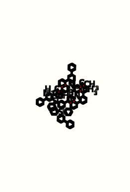 CC(C)(C)c1ccc2c(c1)B1c3cc(-c4cc([Si](c5ccccc5)(c5ccccc5)c5cccc(-c6ccccc6)c5)cc([Si](c5ccccc5)(c5ccccc5)c5cccc(-c6ccccc6)c5)c4)ccc3N(c3c(-c4ccccc4)cccc3-c3ccccc3)c3cc(C(C)(C)C)cc(c31)N2c1ccc(-c2ccccc2)cc1-c1ccccc1